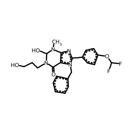 CN1c2nc(-c3ccc(OC(F)F)cc3)n(Cc3ccccc3)c2C(=O)N(CCCO)C1O